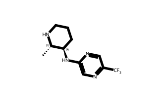 C[C@@H]1NCCC[C@H]1Nc1cnc(C(F)(F)F)cn1